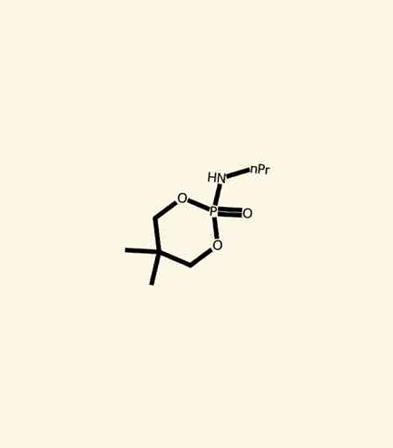 CCCNP1(=O)OCC(C)(C)CO1